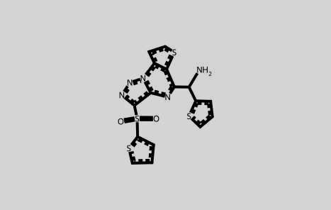 NC(c1cccs1)c1nc2c(S(=O)(=O)c3cccs3)nnn2c2ccsc12